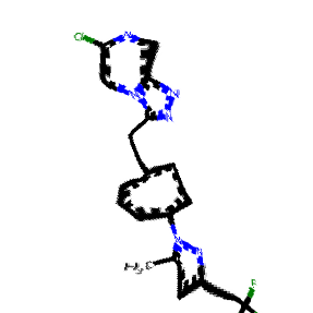 Cc1cc(C(F)(F)F)nn1-c1ccc(Cc2nnc3cnc(Cl)cn23)cc1